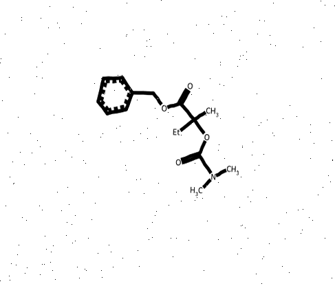 CCC(C)(OC(=O)N(C)C)C(=O)OCc1ccccc1